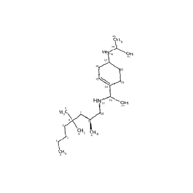 CCCCC(C)(C)C[C@H](C)CNC(O)C1=CCC(NC(C)O)CC1